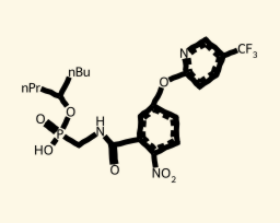 CCCCC(CCC)OP(=O)(O)CNC(=O)c1cc(Oc2ccc(C(F)(F)F)cn2)ccc1[N+](=O)[O-]